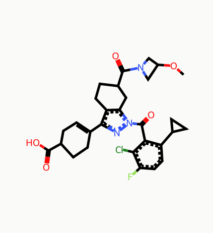 COC1CN(C(=O)C2CCc3c(C4=CCC(C(=O)O)CC4)nn(C(=O)c4c(C5CC5)ccc(F)c4Cl)c3C2)C1